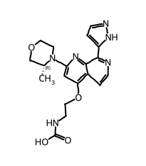 C[C@@H]1COCCN1c1cc(OCCNC(=O)O)c2ccnc(-c3ccn[nH]3)c2n1